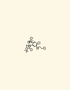 COCCN(C)c1cc(NC(=O)OC(C)(C)C)c([N+](=O)[O-])cc1Cl